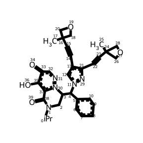 CC(C)N1CC(C(c2ccccc2)n2cc(C#CC3(C)COC3)c(C#CC3(C)COC3)n2)n2ncc(=O)c(O)c2C1=O